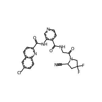 N#CC1CC(F)(F)CN1C(=O)CNC(=O)c1ccncc1NC(=O)c1ccc2cc(Cl)ccc2n1